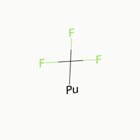 F[C](F)(F)[Pu]